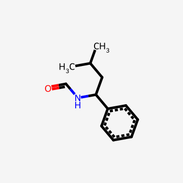 CC(C)CC(NC=O)c1ccccc1